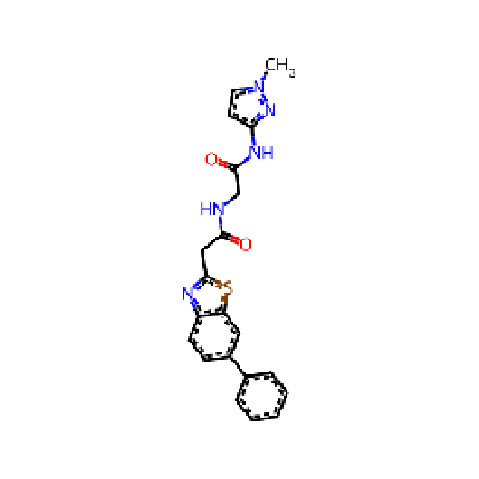 Cn1ccc(NC(=O)CNC(=O)Cc2nc3ccc(-c4ccccc4)cc3s2)n1